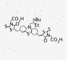 CCCCC(CC)CN1C2=C(CC(/C=C3\SC(=S)N(CC(=O)O)C3=O)CC2)SC2=CC(CC3SC(=S)N(CC(=O)O)C3=O)CCC21